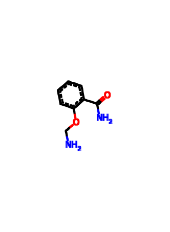 NCOc1ccccc1C(N)=O